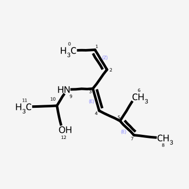 C\C=C/C(=C\C(C)=C\C)NC(C)O